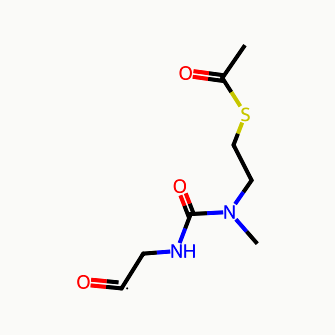 CC(=O)SCCN(C)C(=O)NC[C]=O